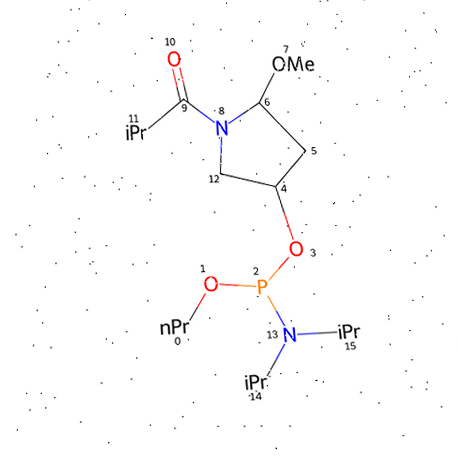 CCCOP(OC1CC(OC)N(C(=O)C(C)C)C1)N(C(C)C)C(C)C